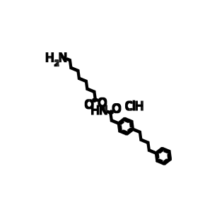 Cl.NCCCCCCCC(=O)ONC(=O)Cc1ccc(CCCCc2ccccc2)cc1